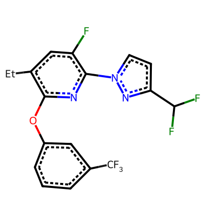 CCc1cc(F)c(-n2ccc(C(F)F)n2)nc1Oc1cccc(C(F)(F)F)c1